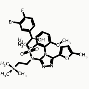 COc1cccc(OC)c1-n1c(-c2ccc(C)o2)nnc1N(CC[Si](C)(C)C)S(=O)(=O)[C@H](C)[C@H](O)c1ccc(F)c(Br)c1